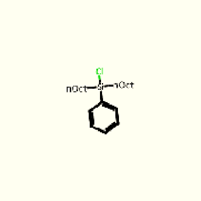 CCCCCCCC[Si](Cl)(CCCCCCCC)c1ccccc1